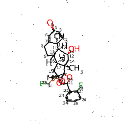 C[C@]12C=CC(=O)C=C1CC[C@@H]1[C@@H]2[C@@H](O)C[C@@]2(C)[C@H]1C[C@H]1OC(c3ccccc3F)O[C@]12C(=O)SCF